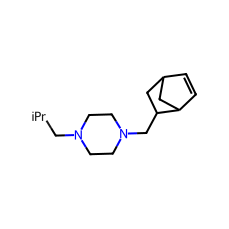 CC(C)CN1CCN(CC2CC3C=CC2C3)CC1